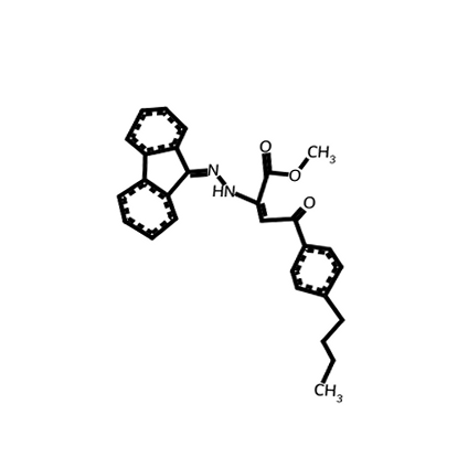 CCCCc1ccc(C(=O)C=C(NN=C2c3ccccc3-c3ccccc32)C(=O)OC)cc1